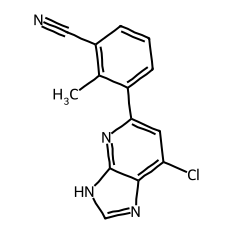 Cc1c(C#N)cccc1-c1cc(Cl)c2nc[nH]c2n1